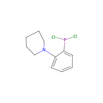 ClP(Cl)c1ccccc1N1CCCCC1